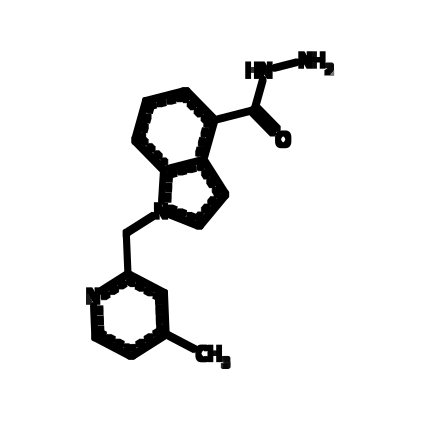 Cc1ccnc(Cn2ccc3c(C(=O)NN)cccc32)c1